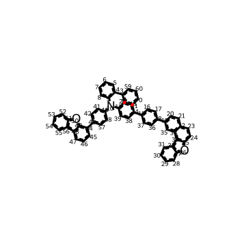 c1ccc(-c2ccccc2N(c2ccc(-c3ccc(-c4ccc5ccc6oc7ccccc7c6c5c4)cc3)cc2)c2ccc(-c3cccc4c3oc3ccccc34)cc2)cc1